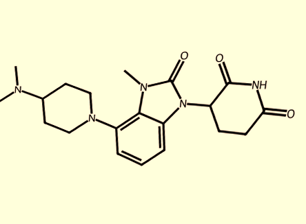 CN(C)C1CCN(c2cccc3c2n(C)c(=O)n3C2CCC(=O)NC2=O)CC1